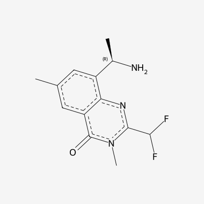 Cc1cc([C@@H](C)N)c2nc(C(F)F)n(C)c(=O)c2c1